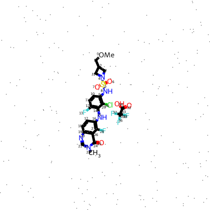 COCC1CN(S(=O)(=O)Nc2ccc(F)c(Nc3ccc4ncn(C)c(=O)c4c3F)c2Cl)C1.O=C(O)C(F)(F)F